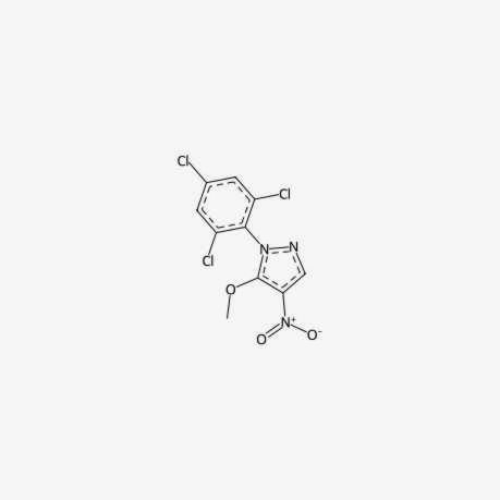 COc1c([N+](=O)[O-])cnn1-c1c(Cl)cc(Cl)cc1Cl